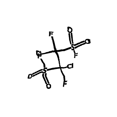 O=S(=O)(F)C(F)(Cl)C(F)(Cl)S(=O)(=O)F